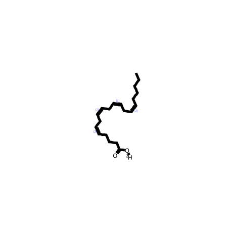 [2H]OC(=O)CCC/C=C\C/C=C\C/C=C\C/C=C\CCCCC